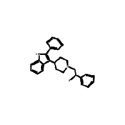 FC(CN1CCC(c2c(-c3ccccc3)[nH]c3ccccc23)CC1)c1ccccc1